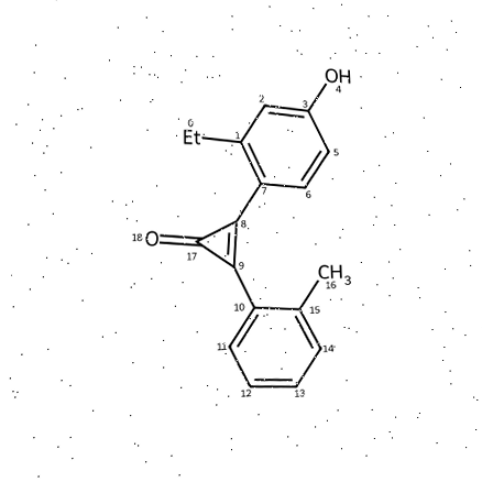 CCc1cc(O)ccc1-c1c(-c2ccccc2C)c1=O